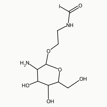 NC1C(OCCNC(=O)I)OC(CO)C(O)C1O